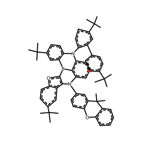 CC(C)(C)c1ccc(-c2cc(C(C)(C)C)ccc2N2c3ccc(C(C)(C)C)cc3B3c4oc5ccc(C(C)(C)C)cc5c4N(c4ccc5c(c4)C(C)(C)c4ccccc4O5)c4cccc2c43)cc1